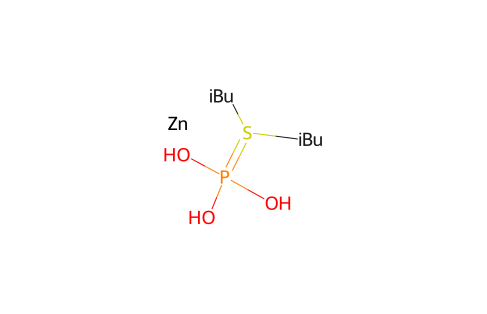 CCC(C)S(C(C)CC)=P(O)(O)O.[Zn]